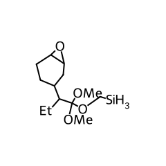 CCC(C1CCC2OC2C1)C(OC)(OC)OC[SiH3]